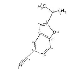 CC(C)c1cc2cc(C#N)ccc2o1